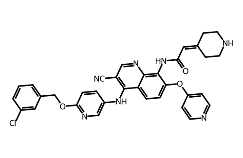 N#Cc1cnc2c(NC(=O)C=C3CCNCC3)c(Oc3ccncc3)ccc2c1Nc1ccc(OCc2cccc(Cl)c2)nc1